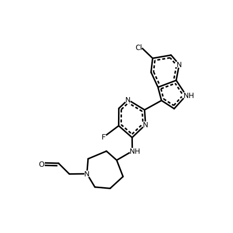 O=CCN1CCCC(Nc2nc(-c3c[nH]c4ncc(Cl)cc34)ncc2F)CC1